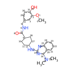 COc1cc(CNC(=O)C2CCC(Nc3nc(N(C)C)c4ccccc4n3)CC2)ccc1O